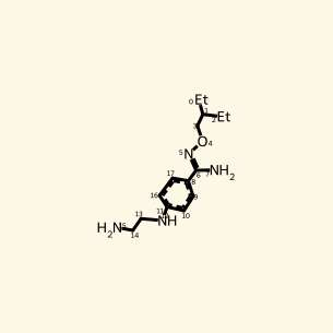 CCC(CC)CON=C(N)c1ccc(NCCN)cc1